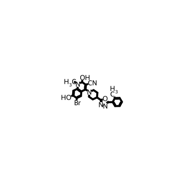 Cc1ccccc1-c1nnc(C2CCN(C3=C(C#N)C(O)N(C)c4cc(O)c(Br)cc43)CC2)o1